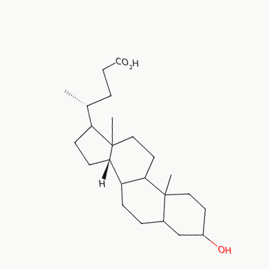 C[C@H](CCC(=O)O)C1CC[C@H]2C3CCC4CC(O)CCC4(C)C3CCC12C